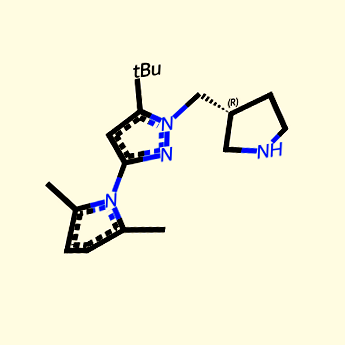 Cc1ccc(C)n1-c1cc(C(C)(C)C)n(C[C@@H]2CCNC2)n1